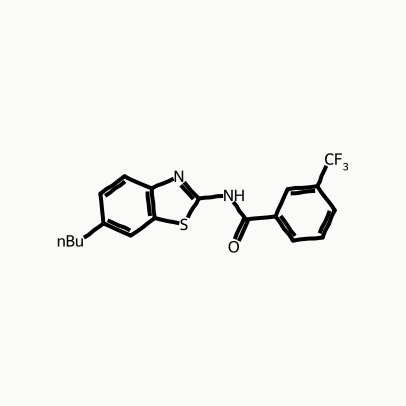 CCCCc1ccc2nc(NC(=O)c3cccc(C(F)(F)F)c3)sc2c1